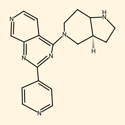 c1cc(-c2nc(N3CCC4NCC[C@H]4C3)c3ccncc3n2)ccn1